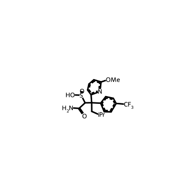 COc1cccc(C(CC(C)C)(c2ccc(C(F)(F)F)cc2)C(C(N)=O)S(=O)O)n1